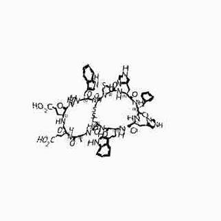 C[C@@H]1NC(=O)[C@@H]2CSSC(NC(=O)[C@H](Cc3c[nH]c4ccccc34)NNC(=O)[C@H](CCC(=O)O)NC(=O)[C@H](CCC(=O)O)NC1=O)C(=O)N1CSC[C@H]1C(=O)N[C@@H](Cc1c[nH]cn1)C(=O)N[C@H](Cc1ccccc1)C(=O)N[C@@H](Cc1c[nH]cn1)C(=O)N[C@@H](Cc1c[nH]c3ccccc13)C(=O)N2